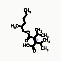 CCCCC(C)COC(=O)/C(=C(\C(=O)O)C(C)C)C(C)C